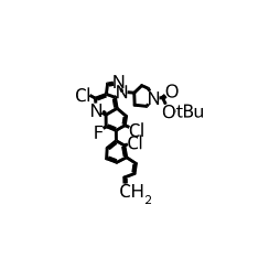 C=C/C=C\c1cccc(-c2c(Cl)cc3c(nc(Cl)c4cnn(C5CCN(C(=O)OC(C)(C)C)CC5)c43)c2F)c1Cl